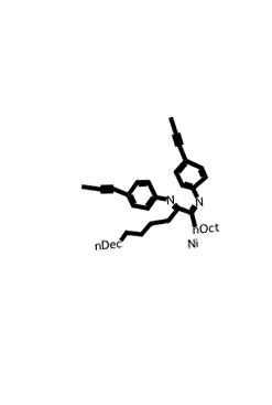 CC#Cc1ccc(N=C(CCCCCCCC)C(CCCCCCCCCCCCCC)=Nc2ccc(C#CC)cc2)cc1.[Ni]